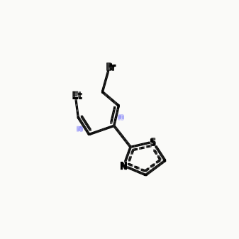 CC/C=C\C(=C/CBr)c1nccs1